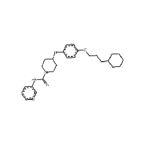 O=C(Nc1cccnc1)N1CCC(Oc2ccc(OCCCC3CCCCC3)cc2)CC1